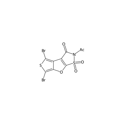 CC(=O)N1C(=O)c2c(oc3c(Br)sc(Br)c23)S1(=O)=O